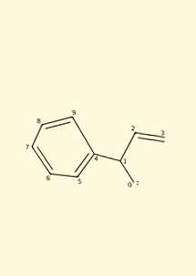 [CH]C(C=C)c1ccccc1